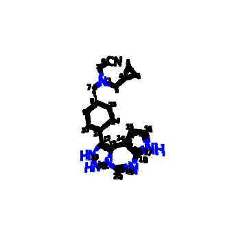 N#CCN(CC1CC1)C[C@H]1CC[C@H](C2=C3c4cc[nH]c4N=CN3NN2)CC1